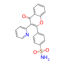 NS(=O)(=O)c1ccc(-c2oc3ccccc3c(=O)c2-c2ccccn2)cc1